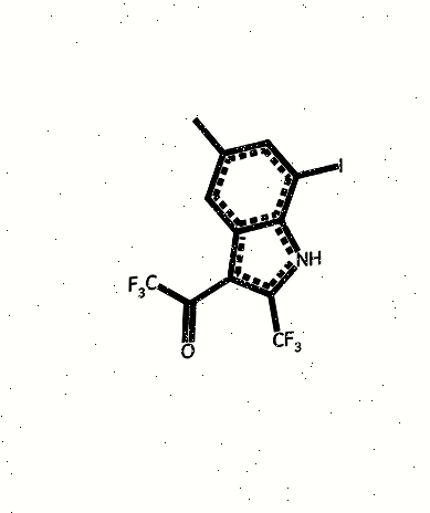 Cc1cc(I)c2[nH]c(C(F)(F)F)c(C(=O)C(F)(F)F)c2c1